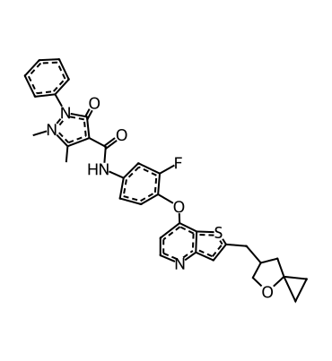 Cc1c(C(=O)Nc2ccc(Oc3ccnc4cc(CC5COC6(CC6)C5)sc34)c(F)c2)c(=O)n(-c2ccccc2)n1C